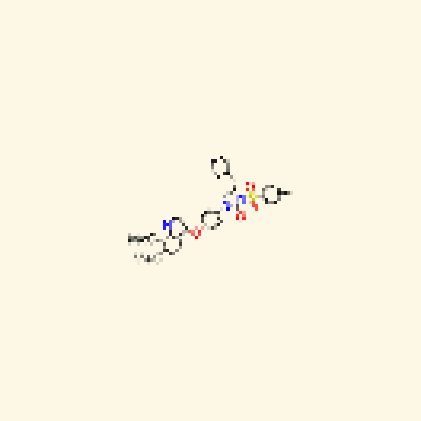 COc1ccc2c(Oc3ccc(N4CC(Cc5ccccc5)N(S(=O)(=O)c5ccc(C)cc5)C4=O)cc3)ccnc2c1OC